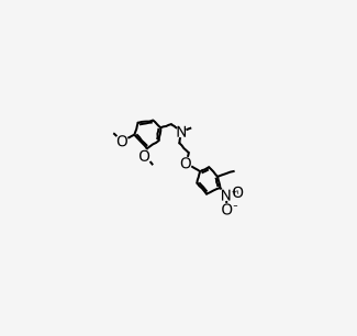 COc1ccc(CN(C)CCOc2ccc([N+](=O)[O-])c(C)c2)cc1OC